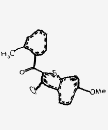 COc1ccc2c(Cl)c(C(=O)c3ccccc3C)sc2c1